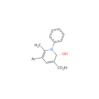 CCOC(=O)C1=CC(C(C)=O)=C(C)N(c2ccccc2)[C@@H]1O